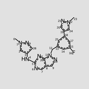 Cn1cc(Nc2ncc3cnn(Cc4cc(F)cc(-c5cnn(C)c5)c4)c3n2)cn1